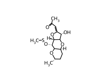 CSO[C@H]1C2O[C@@H](C)CC[C@@H]2OC2[C@H]1O/C(=C\C(C)=O)[C@@H]2O